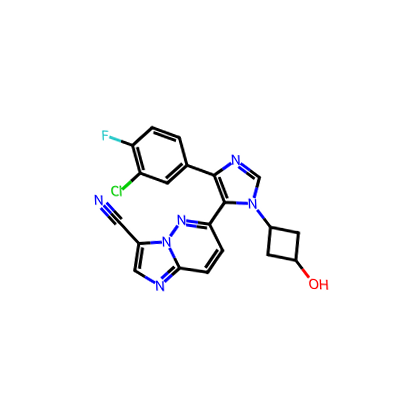 N#Cc1cnc2ccc(-c3c(-c4ccc(F)c(Cl)c4)ncn3C3CC(O)C3)nn12